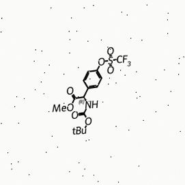 COC(=O)[C@H](NC(=O)OC(C)(C)C)c1ccc(OS(=O)(=O)C(F)(F)F)cc1